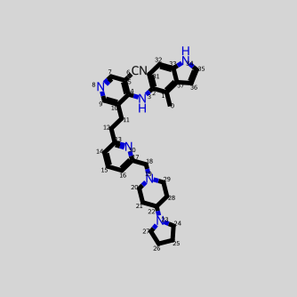 Cc1c(Nc2c(C#N)cncc2CCc2cccc(CN3CCC(N4CCCC4)CC3)n2)ccc2[nH]ccc12